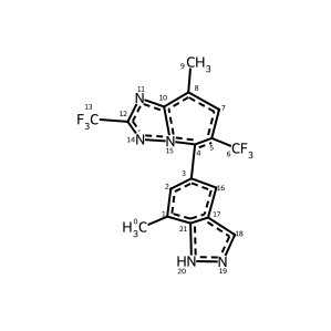 Cc1cc(-c2c(C(F)(F)F)cc(C)c3nc(C(F)(F)F)nn23)cc2cn[nH]c12